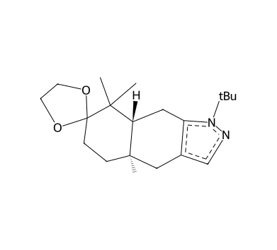 CC(C)(C)n1ncc2c1C[C@H]1C(C)(C)C3(CC[C@]1(C)C2)OCCO3